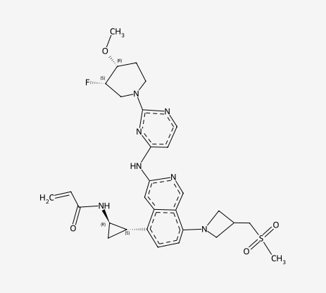 C=CC(=O)N[C@@H]1C[C@H]1c1ccc(N2CC(CS(C)(=O)=O)C2)c2cnc(Nc3ccnc(N4CC[C@@H](OC)[C@@H](F)C4)n3)cc12